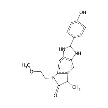 COCCN1C(=O)C(C)c2cc3c(cc21)NC(c1ccc(O)cc1)N3